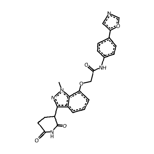 Cn1nc(C2CCC(=O)NC2=O)c2cccc(OCC(=O)Nc3ccc(-c4cnco4)cc3)c21